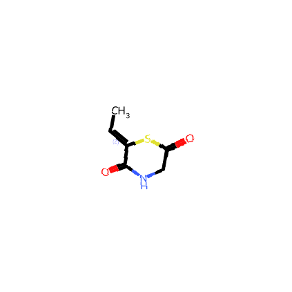 C/C=C1\SC(=O)CNC1=O